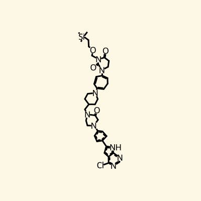 C[Si](C)(C)CCOCN1C(=O)CCN(C2=CCC=C(N3CCC(CN4CCN(c5ccc(-c6cc7c(Cl)ncnc7[nH]6)cc5)CC4=O)CC3)C=C2)C1=O